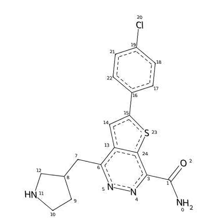 NC(=O)c1nnc(CC2CCNC2)c2cc(-c3ccc(Cl)cc3)sc12